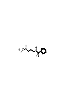 CNCCCNC(=O)c1[c]cccc1